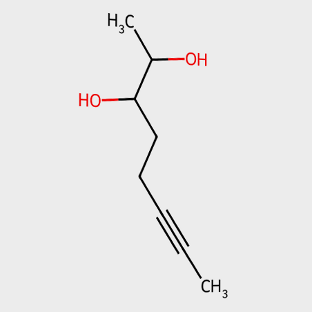 CC#CCCC(O)C(C)O